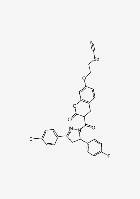 N#C[Se]CCOc1ccc2c(c1)OC(=O)C(C(=O)N1N=C(c3ccc(Cl)cc3)CC1c1ccc(F)cc1)C2